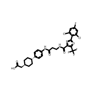 O=C(O)C[C@H]1CC[C@H](c2ccc(NC(=O)CCNC(=O)c3nc(-c4c(Cl)cc(F)cc4Cl)oc3C(F)(F)F)cc2)CC1